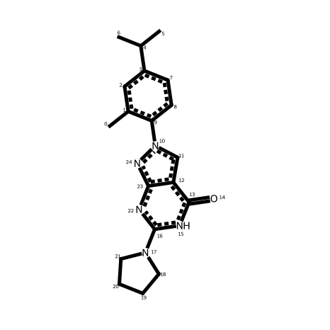 Cc1cc(C(C)C)ccc1-n1cc2c(=O)[nH]c(N3CCCC3)nc2n1